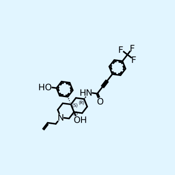 C=CCN1CC[C@@]2(c3cccc(O)c3)C[C@H](NC(=O)C#Cc3ccc(C(F)(F)F)cc3)CC[C@]2(O)C1